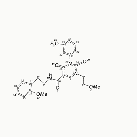 COCCn1cc(C(=O)NCCc2ccccc2OC)c(=O)n(-c2cccc(C(F)(F)F)c2)c1=O